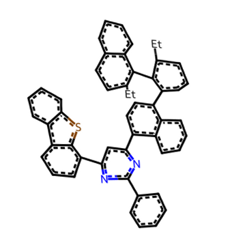 CCc1cccc(-c2ccc(-c3cc(-c4cccc5c4sc4ccccc45)nc(-c4ccccc4)n3)c3ccccc23)c1-c1c(CC)ccc2ccccc12